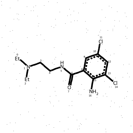 CCN(CC)CCNC(=O)c1cc(Cl)cc(Cl)c1N